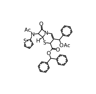 CC(=O)OC(C1=CN2C(=O)C(N(C(C)=O)c3cccs3)[C@H]2SC1C(=O)OC(c1ccccc1)c1ccccc1)c1ccccc1